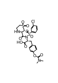 CN(C)C(=O)Oc1ccc(C[C@@H](C(=O)O)N(C(=O)C2CS(=O)(=O)CCN2)S(=O)(=O)c2cccc(Cl)c2)cc1